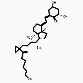 C=C1/C(=C\C=C2/CCC[C@]3(C)[C@@H]([C@H](C)[C@@H](O)CCC4(C(=O)CCCCCC)CC4)CC[C@@H]23)C[C@@H](O)C[C@@H]1O